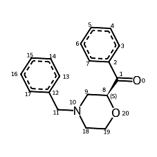 O=C(c1ccccc1)[C@@H]1CN(Cc2ccccc2)CCO1